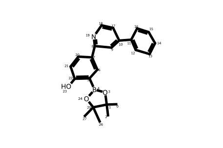 CC1(C)OB(c2cc(-c3cc(-c4ccccc4)ccn3)ccc2O)OC1(C)C